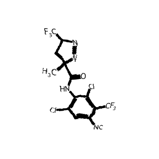 [C-]#[N+]c1cc(Cl)c(NC(=O)C2(C)CC(C(F)(F)F)N=N2)c(Cl)c1C(F)(F)F